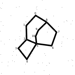 C1CC2CCC23CCC1CC3